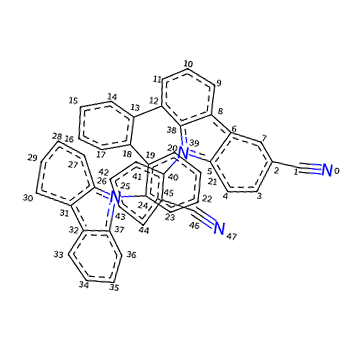 N#Cc1ccc2c(c1)c1cccc(-c3ccccc3-c3ccccc3-n3c4ccccc4c4ccccc43)c1n2-c1ccccc1C#N